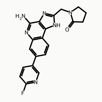 Nc1nc2cc(-c3ccc(F)nc3)ccc2c2[nH]c(CN3CCCC3=O)nc12